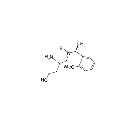 CCN(CC(N)CCO)[C@@H](C)c1ccccc1OC